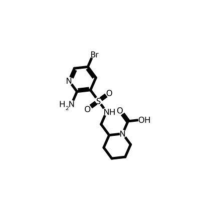 Nc1ncc(Br)cc1S(=O)(=O)NCC1CCCCN1C(=O)O